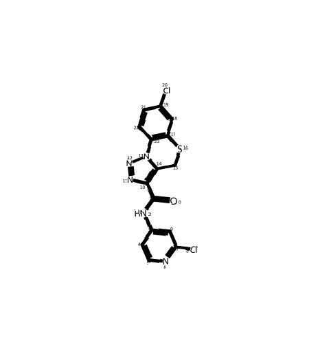 O=C(Nc1ccnc(Cl)c1)c1nnn2c1CSc1cc(Cl)ccc1-2